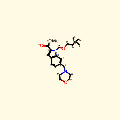 COC(=O)c1cc2ccc(CN3CCOCC3)cc2n1COCC[Si](C)(C)C